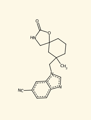 CC1(Cn2cnc3ccc(C#N)cc32)CCCC2(CNC(=O)O2)C1